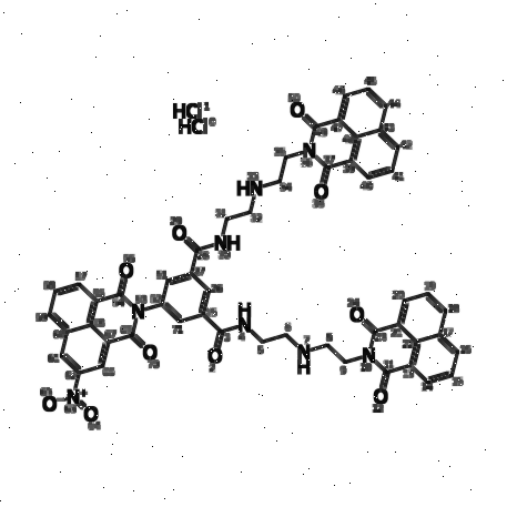 Cl.Cl.O=C(NCCNCCN1C(=O)c2cccc3cccc(c23)C1=O)c1cc(C(=O)NCCNCCN2C(=O)c3cccc4cccc(c34)C2=O)cc(N2C(=O)c3cccc4cc([N+](=O)[O-])cc(c34)C2=O)c1